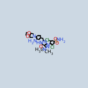 CN(C)c1nn(-c2c(Cl)cc(S(N)(=O)=O)cc2Cl)c2nc(Cc3ccc(N4CCC5(CC4)OCCO5)c(N)c3)[nH]c(=O)c12